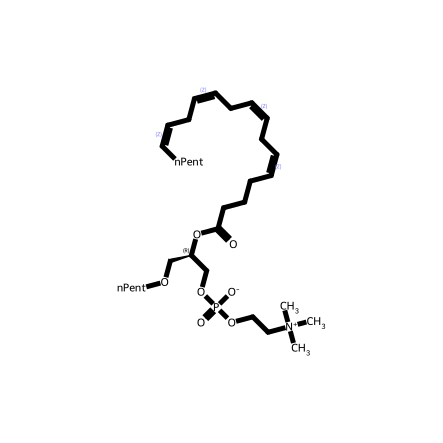 CCCCC/C=C\C/C=C\C/C=C\C/C=C\CCCC(=O)O[C@H](COCCCCC)COP(=O)([O-])OCC[N+](C)(C)C